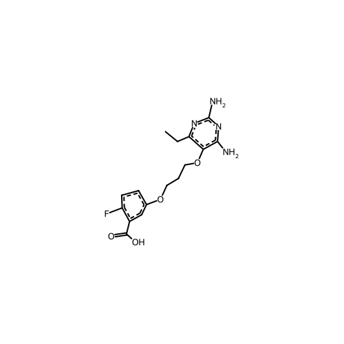 CCc1nc(N)nc(N)c1OCCCOc1ccc(F)c(C(=O)O)c1